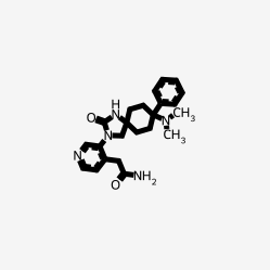 CN(C)C1(c2ccccc2)CCC2(CC1)CN(c1cnccc1CC(N)=O)C(=O)N2